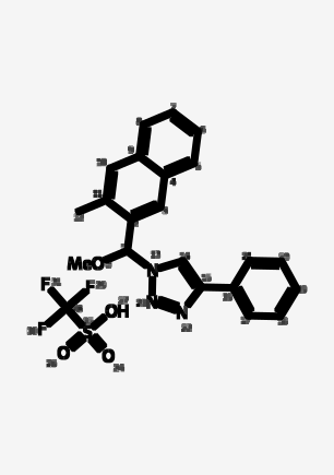 COC(c1cc2ccccc2cc1C)n1cc(-c2ccccc2)nn1.O=S(=O)(O)C(F)(F)F